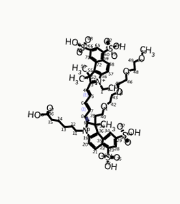 CC[N+]1=C(/C=C/C=C/C=C2/N(CCCCCC(=O)O)c3ccc4c(S(=O)(=O)O)cc(S(=O)(=O)O)cc4c3C2(C)CCOCCOCCOCCOC)C(C)(C)c2c1ccc1c(S(=O)(=O)O)cc(S(=O)(=O)O)cc21